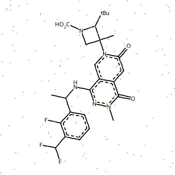 CC(Nc1nn(C)c(=O)c2cc(=O)n(C3(C)CN(C(=O)O)C3C(C)(C)C)cc12)c1cccc(C(F)F)c1F